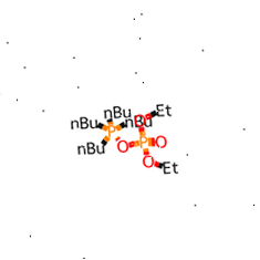 CCCCP(CCCC)(CCCC)(CCCC)OP(=O)(OCC)OCC